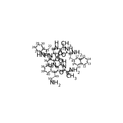 C[C@H](NC(=O)[C@H](N)Cc1ccc2ccccc2c1)C(=O)N[C@@H](Cc1c[nH]c2ccccc12)C(=O)N[C@H](Cc1ccccc1)C(=O)N[C@@H](CCCCN)C(=O)NC(=O)[C@@H](C)N